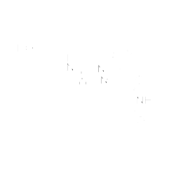 O=C(Cn1nc(C2CCC(=O)NC2=O)c2ccccc21)NCC1CCC(O)C1